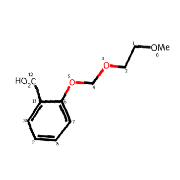 COCCOCOc1ccccc1C(=O)O